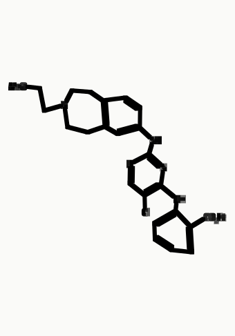 CCOC(=O)c1ccccc1Nc1nc(Nc2ccc3c(c2)CCN(CCOC)CC3)ncc1Cl